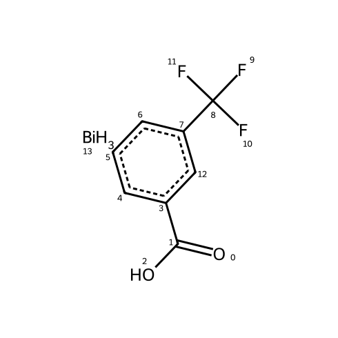 O=C(O)c1cccc(C(F)(F)F)c1.[BiH3]